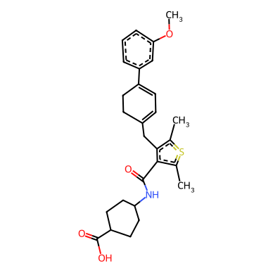 COc1cccc(C2=CC=C(Cc3c(C)sc(C)c3C(=O)NC3CCC(C(=O)O)CC3)CC2)c1